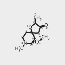 C=C.CC1OC2(CCN(C)CC2)CC1=O